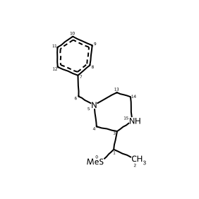 CSC(C)C1CN(Cc2ccccc2)CCN1